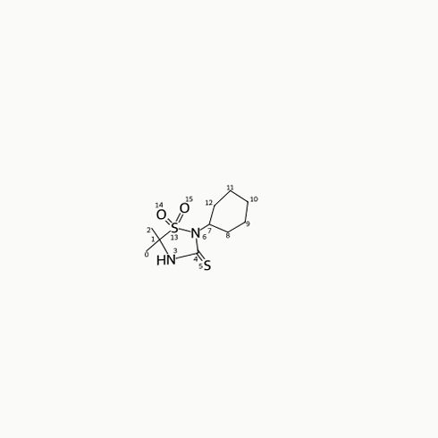 CC1(C)NC(=S)N(C2CCCCC2)S1(=O)=O